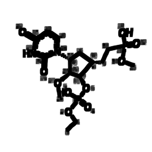 CCOP(=O)(O)O[C@@H]1[C@@H](CCP(=O)(O)OC)C[C@@H](n2ccc(=O)[nH]c2=O)[C@@H]1OC